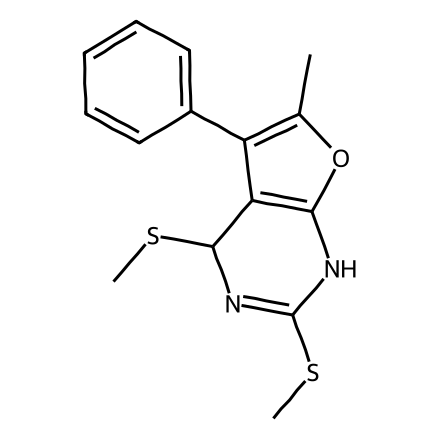 CSC1=NC(SC)c2c(oc(C)c2-c2ccccc2)N1